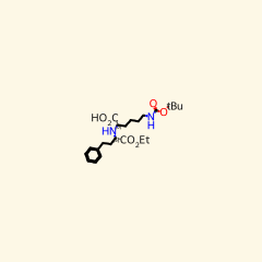 CCOC(=O)[C@H](CCc1ccccc1)N[C@@H](CCCCNC(=O)OC(C)(C)C)C(=O)O